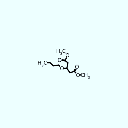 CCCCOC(CC(=O)OC)CC(=O)OC